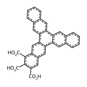 O=C(O)c1cc2cc3c4cc5ccccc5cc4c4cc5ccccc5cc4c3cc2c(C(=O)O)c1C(=O)O